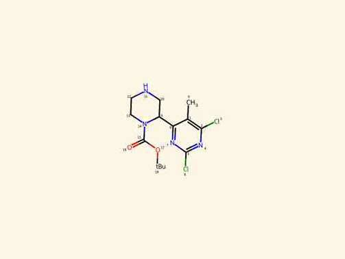 Cc1c(Cl)nc(Cl)nc1C1CNCCN1C(=O)OC(C)(C)C